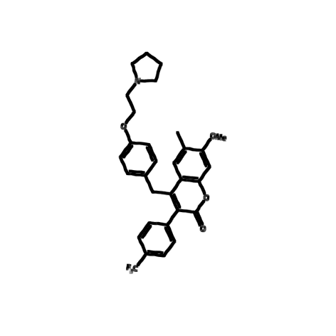 COc1cc2oc(=O)c(-c3ccc(C(F)(F)F)cc3)c(Cc3ccc(OCCN4CCCC4)cc3)c2cc1C